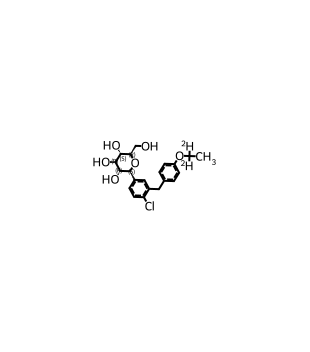 [2H]C([2H])(C)Oc1ccc(Cc2cc([C@@H]3O[C@H](CO)[C@@H](O)[C@H](O)[C@H]3O)ccc2Cl)cc1